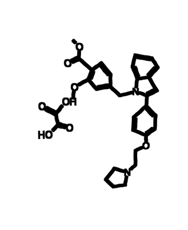 COC(=O)c1ccc(Cn2c(-c3ccc(OCCN4CCCC4)cc3)cc3ccccc32)cc1OC.O=C(O)C(=O)O